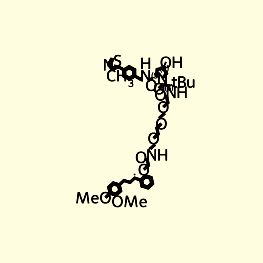 COc1ccc(CC[CH]c2ccccc2OCC(=O)NCCOCCOCCOCC(=O)N[C@H](C(=O)N2C[C@H](O)C[C@H]2C(=O)NCc2ccc(-c3scnc3C)cc2)C(C)(C)C)cc1OC